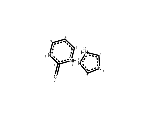 O=c1nccc[nH]1.c1nc[nH]n1